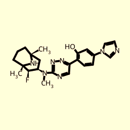 CN(c1ncc(-c2ccc(-n3ccnc3)cc2O)nn1)[C@@H]1C[C@@]2(C)CCC[C@](C)(N2)[C@@H]1F